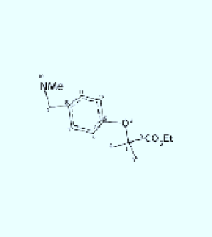 CCOC(=O)C(C)(C)Oc1ccc(CNC)cc1